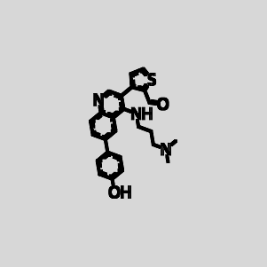 CN(C)CCCNc1c(-c2ccsc2C=O)cnc2ccc(-c3ccc(O)cc3)cc12